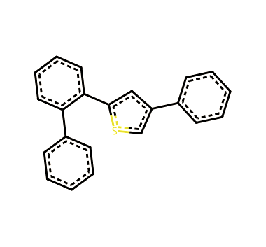 c1ccc(-c2csc(-c3ccccc3-c3ccccc3)c2)cc1